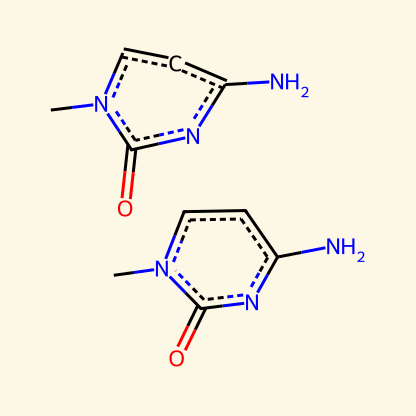 Cn1ccc(N)nc1=O.Cn1ccc(N)nc1=O